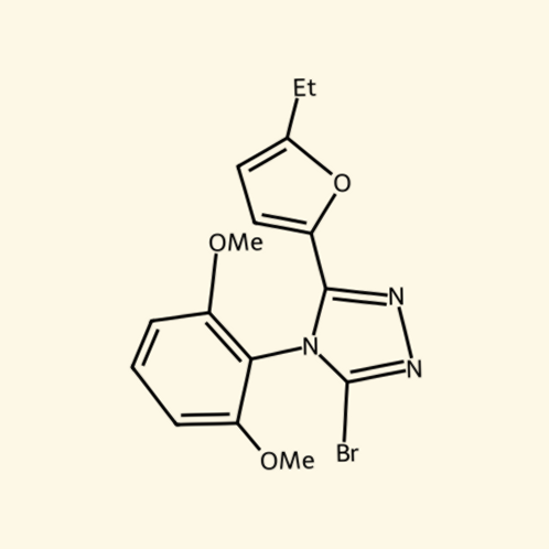 CCc1ccc(-c2nnc(Br)n2-c2c(OC)cccc2OC)o1